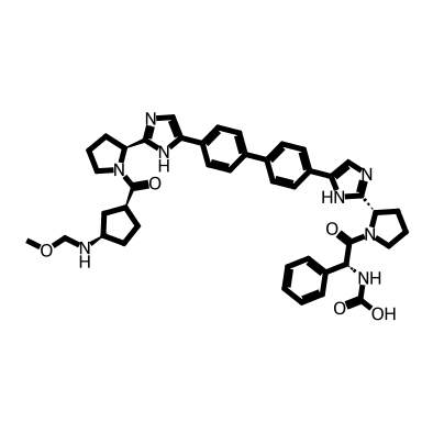 COCN[C@@H]1CC[C@H](C(=O)N2CCC[C@H]2c2ncc(-c3ccc(-c4ccc(-c5cnc([C@@H]6CCCN6C(=O)[C@H](NC(=O)O)c6ccccc6)[nH]5)cc4)cc3)[nH]2)C1